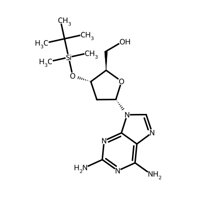 CC(C)(C)[Si](C)(C)O[C@H]1C[C@@H](n2cnc3c(N)nc(N)nc32)O[C@@H]1CO